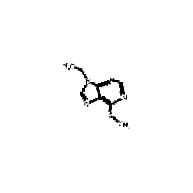 CCn1cnc2c(SC)ncnc21